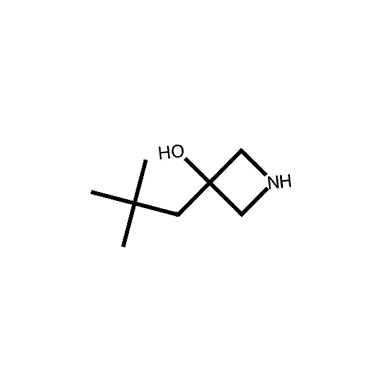 CC(C)(C)CC1(O)CNC1